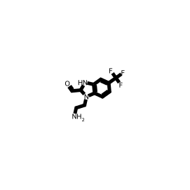 NCCN1c2ccc(C(F)(F)F)cc2NC1C=O